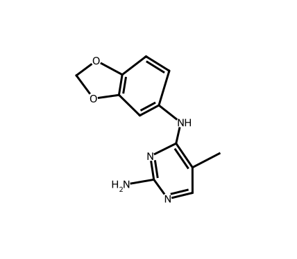 Cc1cnc(N)nc1Nc1ccc2c(c1)OCO2